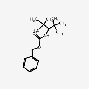 CC(C)(C)C(NC(=O)OCc1ccccc1)C(C)(C)C